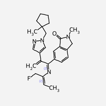 C=C(/C(=N\C(=C/C)CF)c1ccc2c(c1)C(=O)N(C)C2)c1cnn(CC2(C)CCCC2)c1